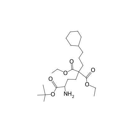 CCOC(=O)C(CCCC1CCCCC1)(CCC(N)C(=O)OC(C)(C)C)C(=O)OCC